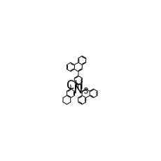 Cc1cc2c(cc1N(c1ccc(-c3cc4ccccc4c4ccccc34)cc1)c1cc3ccccc3c3ccccc13)CCCC2